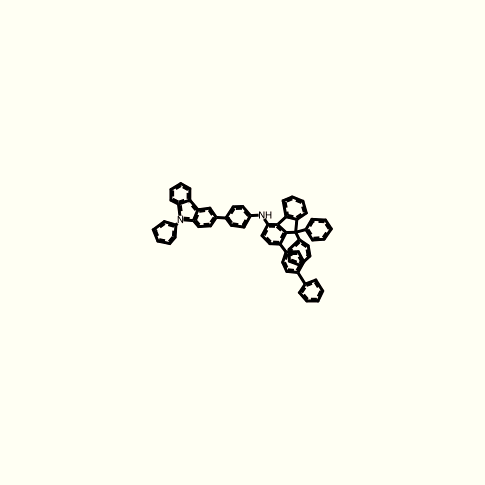 c1ccc(-c2ccc(-c3ccc(Nc4ccc(-c5ccc6c(c5)c5ccccc5n6-c5ccccc5)cc4)c4c3C(c3ccccc3)(c3ccccc3)c3ccccc3-4)cc2)cc1